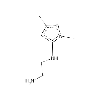 Cc1cc(NCCN)n(C)n1